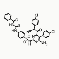 N#CC(C(=O)c1nc(NS(=O)(=O)c2ccc(NC(=S)NC(=O)c3ccccc3)cc2)nc(N)c1-c1ccc(Cl)cc1)c1ccc(Cl)cc1